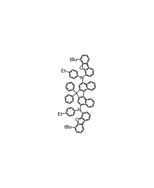 CCc1ccc(N(c2cc3c(c4ccccc24)-c2c(cc(N(c4ccc(CC)cc4)c4cccc5c4oc4c(C(C)(C)C)cccc45)c4ccccc24)C3(c2ccccc2)c2ccccc2)c2cccc3c2oc2c(C(C)(C)C)cccc23)cc1